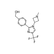 CN1CC(n2cc(C(F)(F)F)nc2-c2ccc(CO)cc2)C1